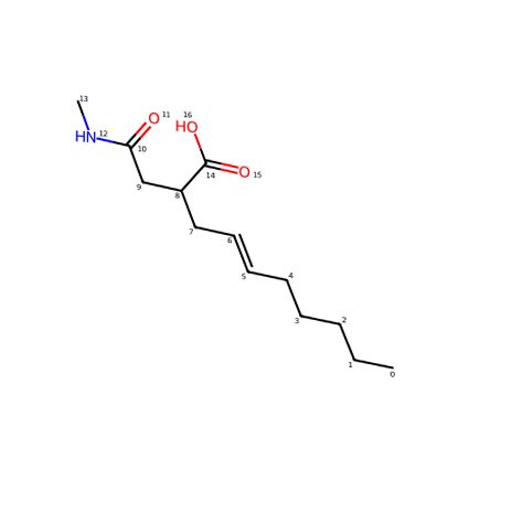 CCCCCC=CCC(CC(=O)NC)C(=O)O